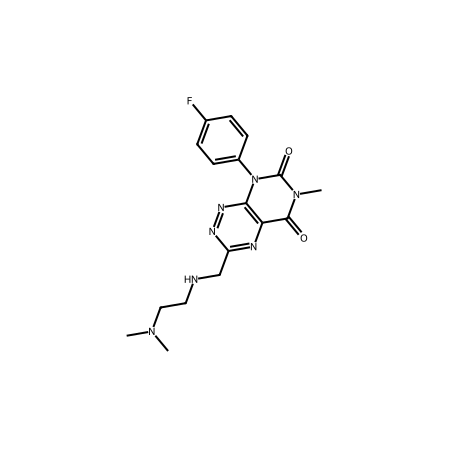 CN(C)CCNCc1nnc2c(n1)c(=O)n(C)c(=O)n2-c1ccc(F)cc1